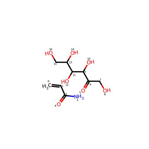 C=CC(N)=O.O=C(CO)C(O)C(O)C(O)CO